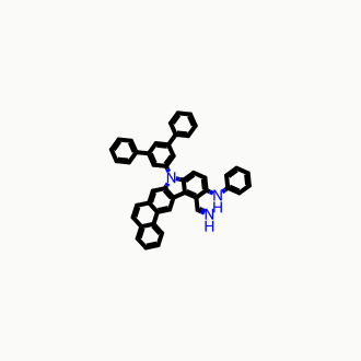 N=Cc1c(Nc2ccccc2)ccc2c1c1cc3c(ccc4ccccc43)cc1n2-c1cc(-c2ccccc2)cc(-c2ccccc2)c1